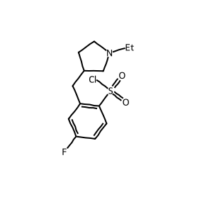 CCN1CCC(Cc2cc(F)ccc2S(=O)(=O)Cl)C1